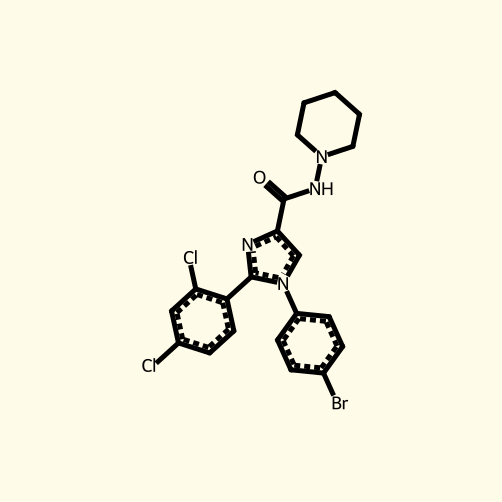 O=C(NN1CCCCC1)c1cn(-c2ccc(Br)cc2)c(-c2ccc(Cl)cc2Cl)n1